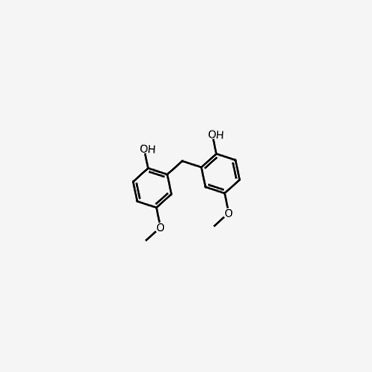 COc1ccc(O)c(Cc2cc(OC)ccc2O)c1